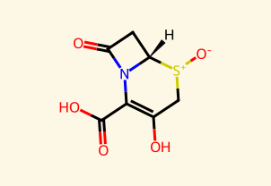 O=C(O)C1=C(O)C[S+]([O-])[C@H]2CC(=O)N12